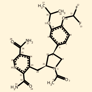 CC(=O)N1C[C@H](c2ccc(OC(F)F)c(OC(C)C)c2)C[C@@H]1Cc1cc(C(N)=O)cnc1C(N)=O